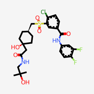 CC(C)(O)CNC(=O)C[C@]1(O)CC[C@@H](CS(=O)(=O)c2cc(C(=O)Nc3ccc(F)c(F)c3)ccc2Cl)CC1